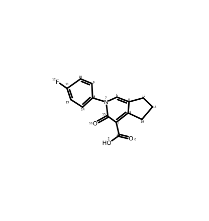 O=C(O)c1c2c(cn(-c3ccc(F)cc3)c1=O)CCC2